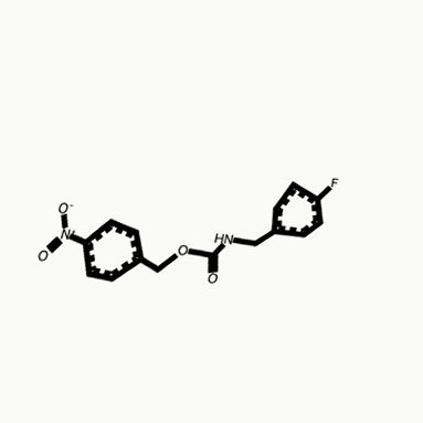 O=C(NCc1ccc(F)cc1)OCc1ccc([N+](=O)[O-])cc1